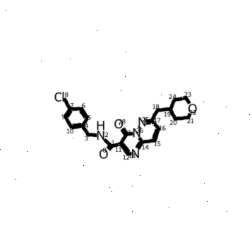 O=C(NCc1ccc(Cl)cc1)c1cnc2ccc(CC3CCOCC3)nn2c1=O